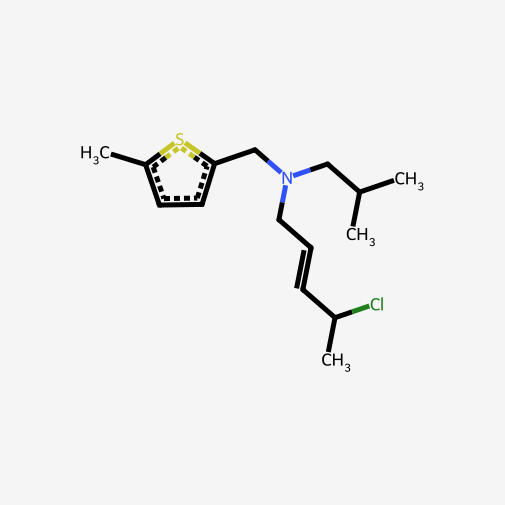 Cc1ccc(CN(C/C=C/C(C)Cl)CC(C)C)s1